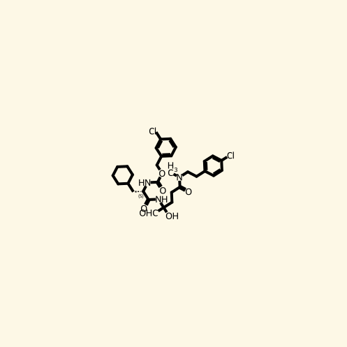 CN(CCc1ccc(Cl)cc1)C(=O)CCC(O)(C=O)NC(=O)[C@H](CC1CCCCC1)NC(=O)OCc1cccc(Cl)c1